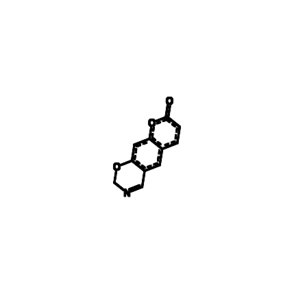 O=c1ccc2cc3c(cc2o1)OCN=C3